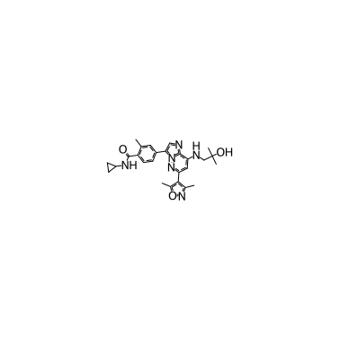 Cc1cc(-c2cnc3c(NCC(C)(C)O)cc(-c4c(C)noc4C)nn23)ccc1C(=O)NC1CC1